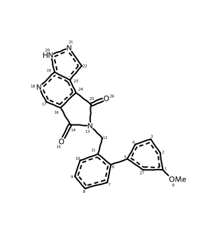 COc1cccc(-c2ccccc2CN2C(=O)c3cnc4[nH]ncc4c3C2=O)c1